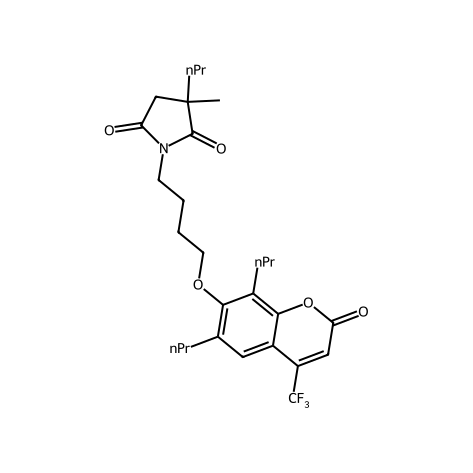 CCCc1cc2c(C(F)(F)F)cc(=O)oc2c(CCC)c1OCCCCN1C(=O)CC(C)(CCC)C1=O